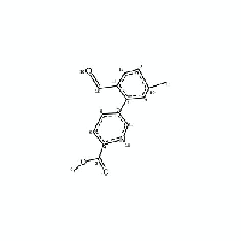 COC(=O)c1ccc(-c2cc(C)ccc2C=O)cn1